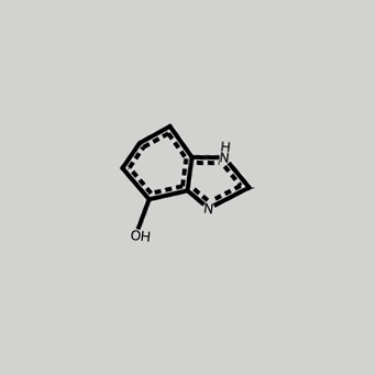 Oc1cccc2[nH][c]nc12